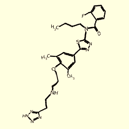 CCCCN(C(=O)c1ccccc1F)c1nnc(-c2cc(C)c(OCCNCCc3nn[nH]n3)c(C)c2)s1